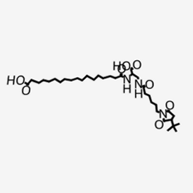 CC(C)(C)C1CC(=O)N(CCCCCC(=O)NCC(NC(=O)CCCCCCCCCCCCCCCCC(=O)O)C(=O)O)C1=O